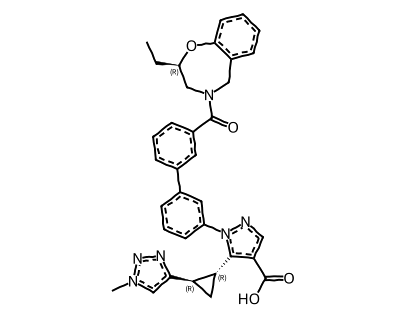 CC[C@@H]1CN(C(=O)c2cccc(-c3cccc(-n4ncc(C(=O)O)c4[C@@H]4C[C@H]4c4cn(C)nn4)c3)c2)Cc2ccccc2O1